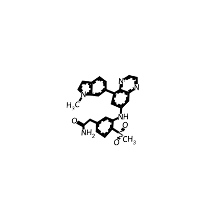 Cn1ccc2ccc(-c3cc(Nc4cc(CC(N)=O)ccc4S(C)(=O)=O)cc4nccnc34)cc21